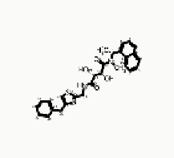 C[C@H](c1cccc2ccccc12)N(C)C(=O)[C@H](O)[C@@H](O)C(=O)NCc1nc(Cc2ccccc2)cs1